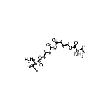 CC(C)[C@H](N)C(=O)OCCCC(=O)OC(=O)CCCOC(=O)[C@@H](N)C(C)C